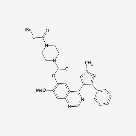 COc1cc2ncnc(-c3cn(C)nc3-c3ccccc3)c2cc1OC(=O)N1CCN(C(=O)OC(C)(C)C)CC1